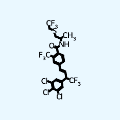 CC(CSCC(F)(F)F)NC(=O)c1ccc(/C=C/C(c2cc(Cl)c(Cl)c(Cl)c2)C(F)(F)F)cc1C(F)(F)F